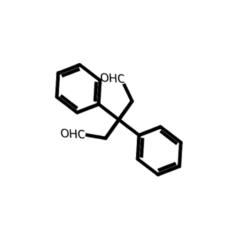 O=CCC(CC=O)(c1ccccc1)c1ccccc1